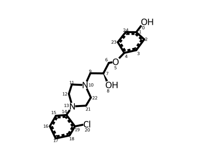 Oc1ccc(OC[C@@H](O)CN2CCN(c3ccccc3Cl)CC2)cc1